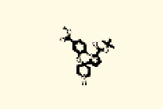 COC(=O)c1ccc2c(c1)OC1(CCNCC1)c1ccc(C(=O)OC(C)(C)C)n1-2